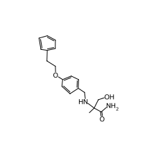 CC(CO)(NCc1ccc(OCCc2ccccc2)cc1)C(N)=O